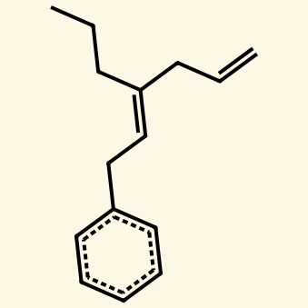 C=CC/C(=C/Cc1ccccc1)CCC